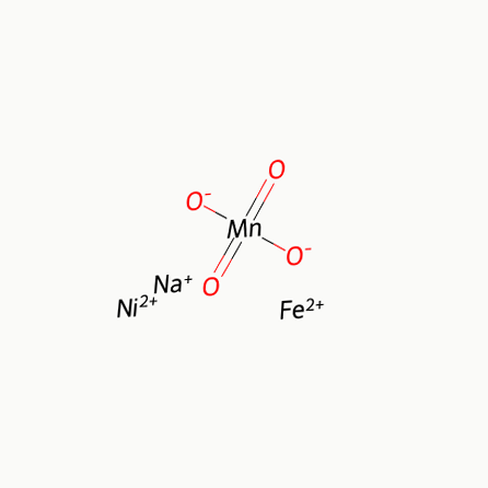 [Fe+2].[Na+].[Ni+2].[O]=[Mn](=[O])([O-])[O-]